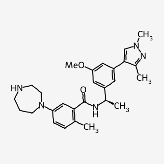 COc1cc(-c2cn(C)nc2C)cc([C@@H](C)NC(=O)c2cc(N3CCCNCC3)ccc2C)c1